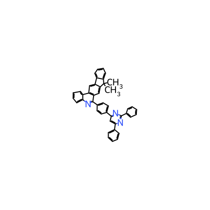 CC1(C)c2ccccc2-c2cc3c(cc21)c(-c1ccc(-c2cc(-c4ccccc4)nc(-c4ccccc4)n2)cc1)nc1ccccc13